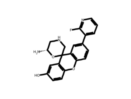 N[C@@H]1CNCC2(O1)c1cc(O)ccc1Oc1ccc(-c3cccnc3F)cc12